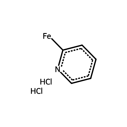 Cl.Cl.[Fe][c]1ccccn1